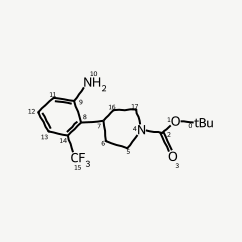 CC(C)(C)OC(=O)N1CCC(c2c(N)cccc2C(F)(F)F)CC1